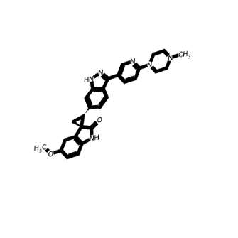 COC1C=CC2=C(C1)[C@@]1(C[C@@H]1c1ccc3c(-c4ccc(N5CCN(C)CC5)nc4)n[nH]c3c1)C(=O)N2